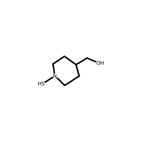 OCC1CCN(S)CC1